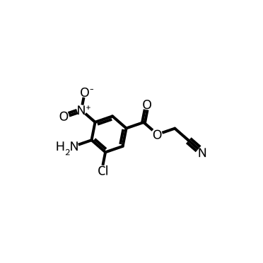 N#CCOC(=O)c1cc(Cl)c(N)c([N+](=O)[O-])c1